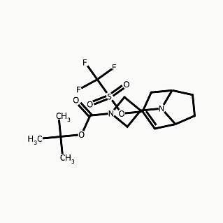 CC(C)(C)OC(=O)N1CC(N2C3C=C(OS(=O)(=O)C(F)(F)F)CC2CC3)C1